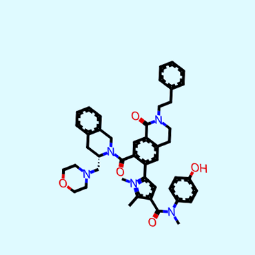 Cc1c(C(=O)N(C)c2ccc(O)cc2)cc(-c2cc3c(cc2C(=O)N2Cc4ccccc4C[C@H]2CN2CCOCC2)C(=O)N(CCc2ccccc2)CC3)n1C